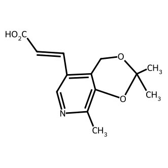 Cc1ncc(/C=C/C(=O)O)c2c1OC(C)(C)OC2